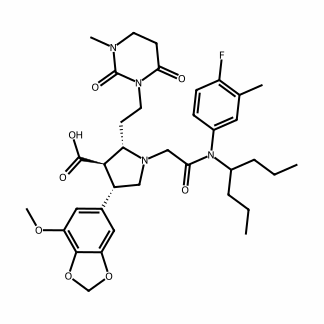 CCCC(CCC)N(C(=O)CN1C[C@H](c2cc(OC)c3c(c2)OCO3)[C@@H](C(=O)O)[C@@H]1CCN1C(=O)CCN(C)C1=O)c1ccc(F)c(C)c1